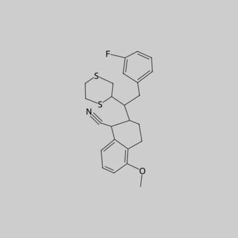 COc1cccc2c1CCC(C(Cc1cccc(F)c1)C1CSCCS1)C2C#N